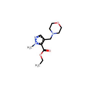 CCOC(=O)c1c(CN2CCOCC2)cnn1C